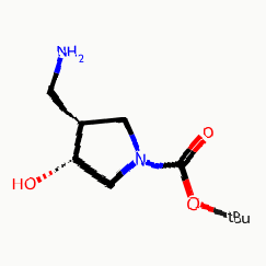 CC(C)(C)OC(=O)N1C[C@H](CN)[C@@H](O)C1